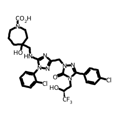 O=C(O)N1CCCC(O)(CNc2nc(Cn3nc(-c4ccc(Cl)cc4)n(C[C@H](O)C(F)(F)F)c3=O)nn2-c2ccccc2Cl)CC1